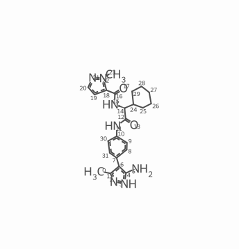 Cc1n[nH]c(N)c1-c1ccc(NC(=O)[C@@H](NC(=O)c2ccnn2C)C2CCCCC2)cc1